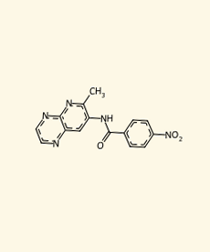 Cc1nc2nccnc2cc1NC(=O)c1ccc([N+](=O)[O-])cc1